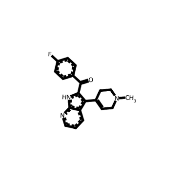 CN1CC=C(c2c(C(=O)c3ccc(F)cc3)[nH]c3ncccc23)CC1